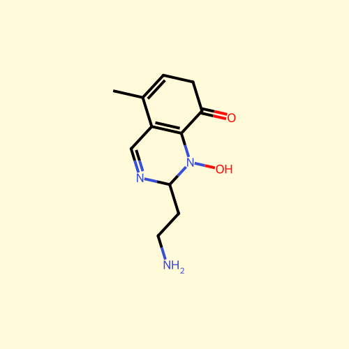 CC1=CCC(=O)C2=C1C=NC(CCN)N2O